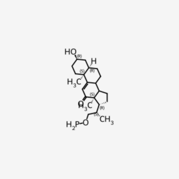 C[C@H](COP)[C@H]1CCC2C3CC[C@@H]4C[C@H](O)CC[C@]4(C)C3=CC(=O)[C@@]21C